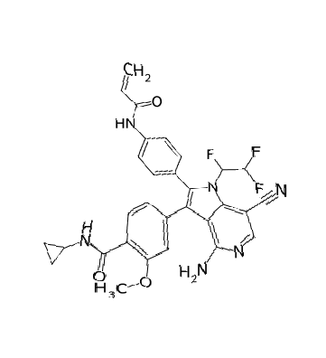 C=CC(=O)Nc1ccc(-c2c(-c3ccc(C(=O)NC4CC4)c(OC)c3)c3c(N)ncc(C#N)c3n2C(F)C(F)F)cc1